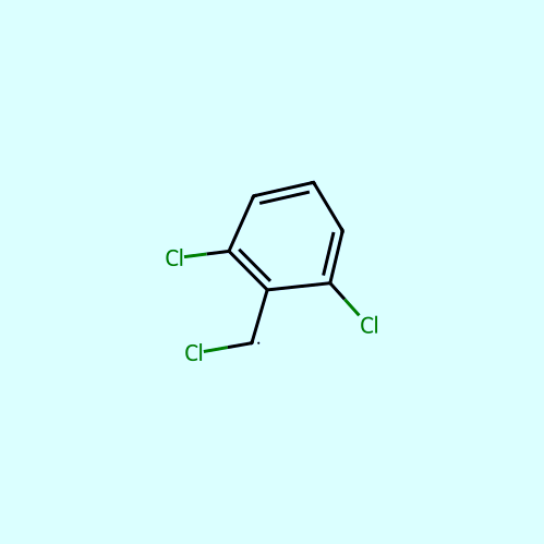 Cl[CH]c1c(Cl)cccc1Cl